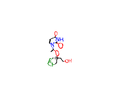 CC(O[C@](CF)(CCl)CCO)n1ccc(=O)[nH]c1=O